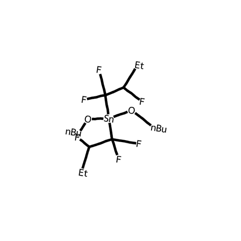 CCCC[O][Sn]([O]CCCC)([C](F)(F)C(F)CC)[C](F)(F)C(F)CC